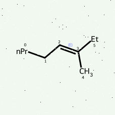 C[C]CC/C=C(\C)CC